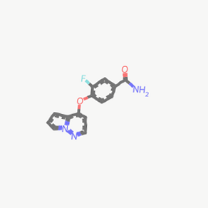 NC(=O)c1ccc(Oc2ccnn3cccc23)c(F)c1